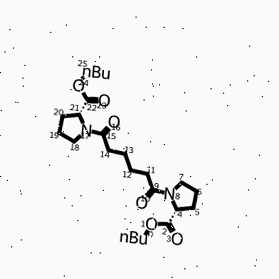 CCCCOC(=O)[C@H]1CCCN1C(=O)CCCCC(=O)N1CCC[C@@H]1C(=O)OCCCC